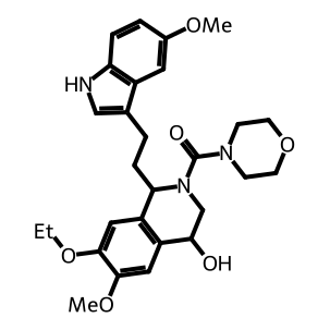 CCOc1cc2c(cc1OC)C(O)CN(C(=O)N1CCOCC1)C2CCc1c[nH]c2ccc(OC)cc12